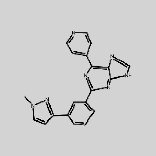 Cn1ccc(-c2cccc(-c3nc(-c4ccncc4)c4nc[nH]c4n3)c2)n1